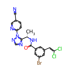 C[C@H](NC(=O)c1cc(Br)cc(C=C(Cl)Cl)c1)c1ncnn1-c1ccc(C#N)cn1